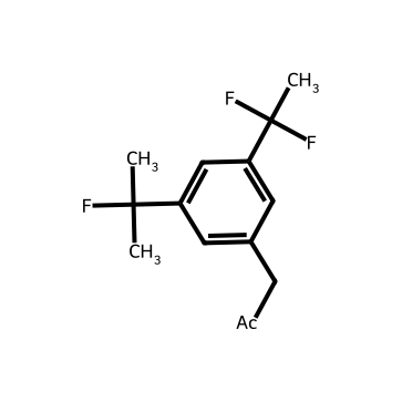 CC(=O)Cc1cc(C(C)(C)F)cc(C(C)(F)F)c1